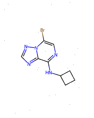 Brc1cnc(NC2CCC2)c2ncnn12